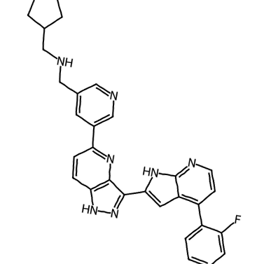 Fc1ccccc1-c1ccnc2[nH]c(-c3n[nH]c4ccc(-c5cncc(CNCC6CCCC6)c5)nc34)cc12